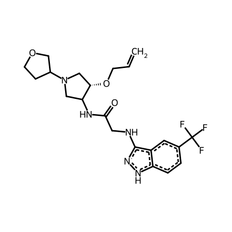 C=CCO[C@H]1CN(C2CCOC2)CC1NC(=O)CNc1n[nH]c2ccc(C(F)(F)F)cc12